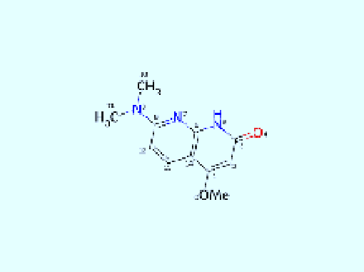 COc1cc(=O)[nH]c2nc(N(C)C)ccc12